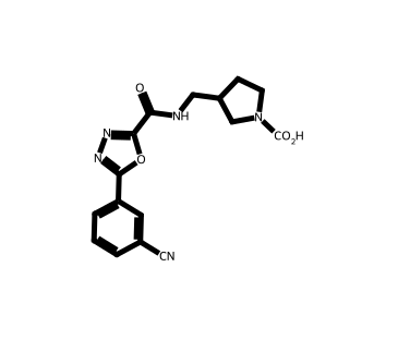 N#Cc1cccc(-c2nnc(C(=O)NCC3CCN(C(=O)O)C3)o2)c1